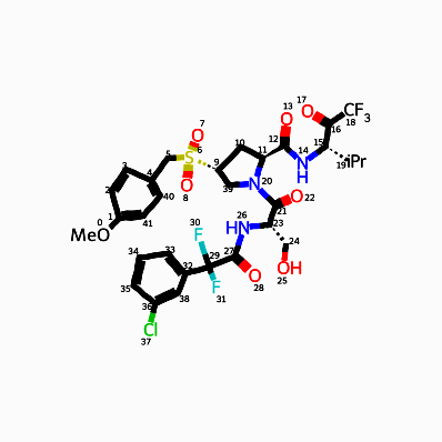 COc1ccc(CS(=O)(=O)[C@@H]2C[C@@H](C(=O)N[C@H](C(=O)C(F)(F)F)C(C)C)N(C(=O)[C@H](CO)NC(=O)C(F)(F)c3cccc(Cl)c3)C2)cc1